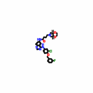 O=C(C=CCN1C[C@@H]2OCCO[C@@H]2C1)Nc1ccc2ncnc(Nc3ccc(OCc4cccc(F)c4)c(Cl)c3)c2c1